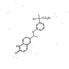 CCOC(=O)C(C)(CC)c1cccc(OC(C)c2ccc3[nH]c(=O)ccc3c2)c1